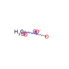 CC/C(=C/C/C=C/C/C=C/C/C(=C/CCCCCC[C]=O)[N+](=O)[O-])[N+](=O)[O-]